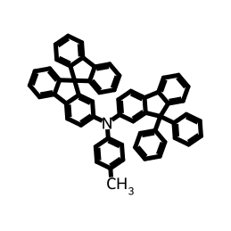 Cc1ccc(N(c2ccc3c(c2)C(c2ccccc2)(c2ccccc2)c2ccccc2-3)c2ccc3c(c2)C2(c4ccccc4-c4ccccc42)c2ccccc2-3)cc1